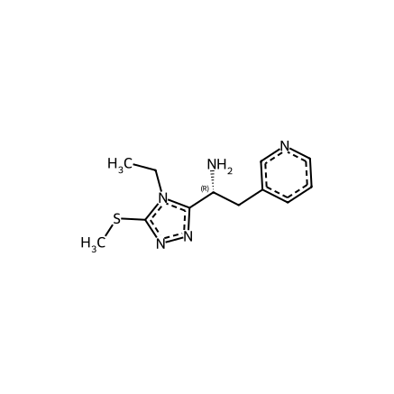 CCn1c(SC)nnc1[C@H](N)Cc1cccnc1